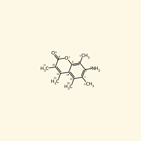 Cc1c(N)c(C)c2oc(=O)c(C)c(C)c2c1C